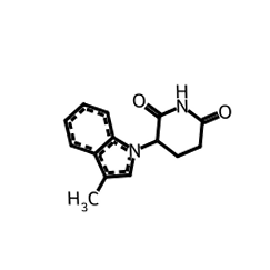 Cc1cn(C2CCC(=O)NC2=O)c2ccccc12